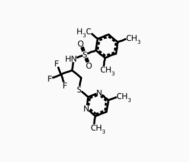 Cc1cc(C)c(S(=O)(=O)NC(CSc2nc(C)cc(C)n2)C(F)(F)F)c(C)c1